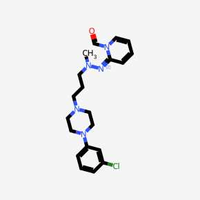 CN(CCCN1CCN(c2cccc(Cl)c2)CC1)/N=c1/ccccn1C=O